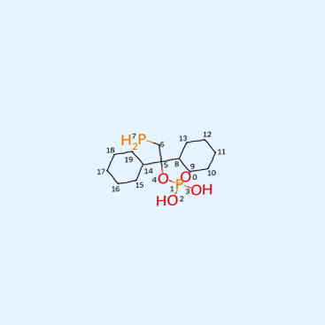 O=P(O)(O)OC(CP)(C1CCCCC1)C1CCCCC1